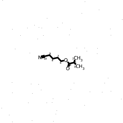 CC(C)C(=O)OCCCCC#N